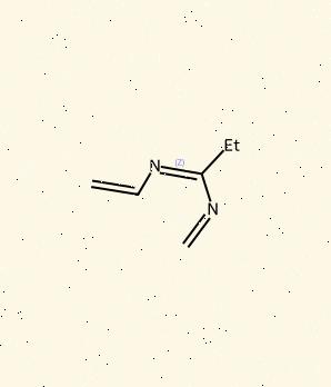 C=C/N=C(/CC)N=C